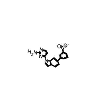 Nc1nccc(N2C=CC3C=CC(c4cccc([N+](=O)[O-])c4)=CC32)n1